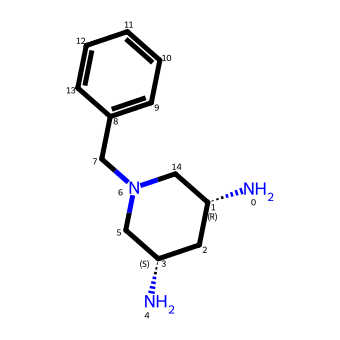 N[C@@H]1C[C@H](N)CN(Cc2ccccc2)C1